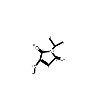 CSC1=CC(=O)N(C(C)C)C1=O